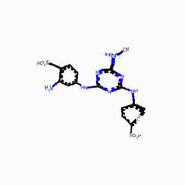 N#CNc1nc(Nc2ccc(S(=O)(=O)O)cc2)nc(Nc2ccc(S(=O)(=O)O)c(N)c2)n1